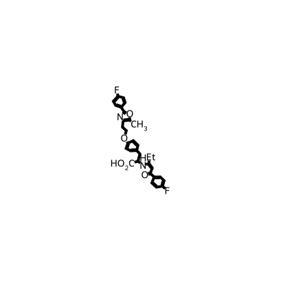 CC/C(=C/C(=O)c1ccc(F)cc1)NC(Cc1ccc(OCCc2nc(-c3ccc(F)cc3)oc2C)cc1)C(=O)O